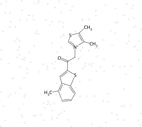 Cc1sc[n+](CC(=O)c2cc3c(C)cccc3s2)c1C